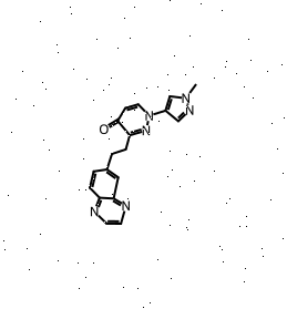 Cn1cc(-n2ccc(=O)c(CCc3ccc4nccnc4c3)n2)cn1